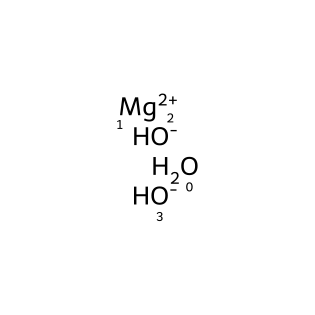 O.[Mg+2].[OH-].[OH-]